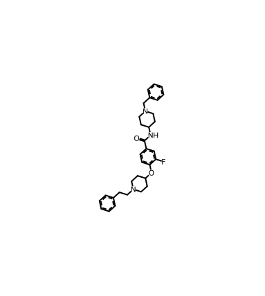 O=C(NC1CCN(Cc2ccccc2)CC1)c1ccc(OC2CCN(CCc3ccccc3)CC2)c(F)c1